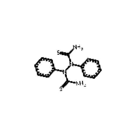 NC(=S)N(c1ccccc1)N(C(N)=S)c1ccccc1